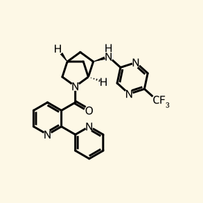 O=C(c1cccnc1-c1ccccn1)N1C[C@@H]2C[C@@H](Nc3cnc(C(F)(F)F)cn3)[C@@H]1C2